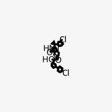 O=C(C(O)c1cccc(-c2ccc(Cl)cc2)c1)N1CCc2nc(C3(c4cccc(Cl)c4)CC3)[nH]c(=O)c2C1